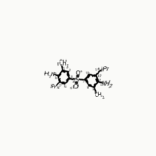 Cc1cc(S(=O)(=O)c2cc(C)c(N)c(C(C)C)c2)cc(C(C)C)c1N